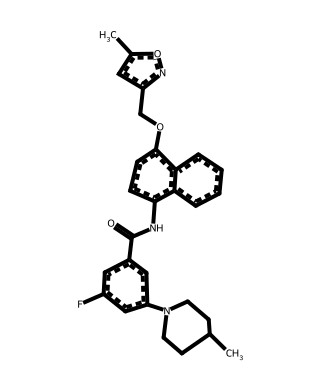 Cc1cc(COc2ccc(NC(=O)c3cc(F)cc(N4CCC(C)CC4)c3)c3ccccc23)no1